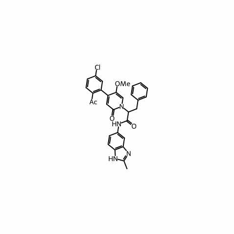 COc1cn(C(Cc2ccccc2)C(=O)Nc2ccc3[nH]c(C)nc3c2)c(=O)cc1-c1cc(Cl)ccc1C(C)=O